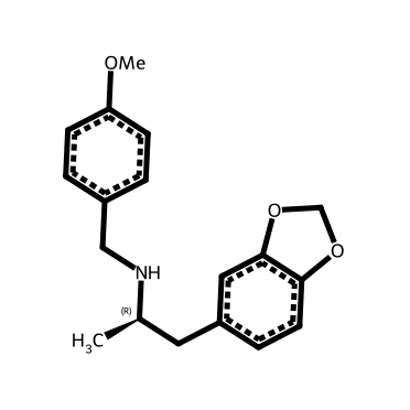 COc1ccc(CN[C@H](C)Cc2ccc3c(c2)OCO3)cc1